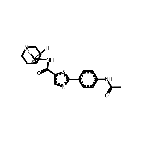 CC(=O)Nc1ccc(-c2ncc(C(=O)N[C@H]3CN4CCC3CC4)s2)cc1